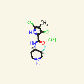 Cc1c(Cl)[nH]c(C(=O)N[C@@H]2CCNC[C@@H]2F)c1Cl.Cl